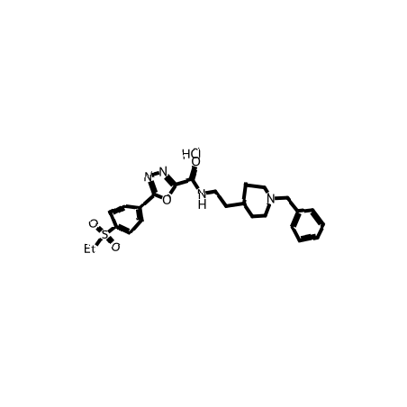 CCS(=O)(=O)c1ccc(-c2nnc(C(=O)NCCC3CCN(Cc4ccccc4)CC3)o2)cc1.Cl